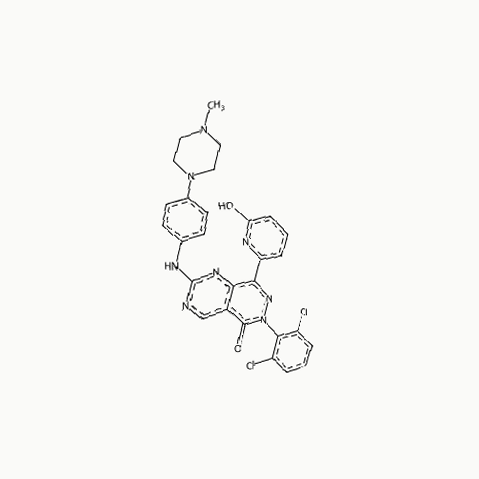 CN1CCN(c2ccc(Nc3ncc4c(=O)n(-c5c(Cl)cccc5Cl)nc(-c5cccc(O)n5)c4n3)cc2)CC1